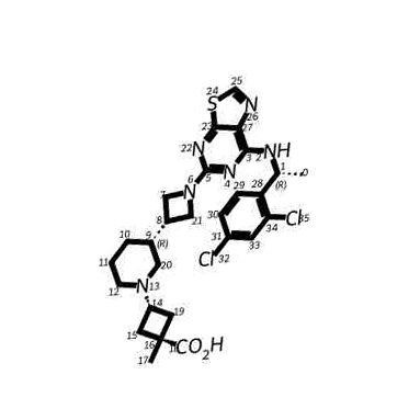 C[C@@H](Nc1nc(N2CC([C@H]3CCCN([C@H]4C[C@](C)(C(=O)O)C4)C3)C2)nc2scnc12)c1ccc(Cl)cc1Cl